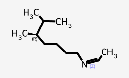 C/C=N\CCCC[C@@H](C)C(C)C